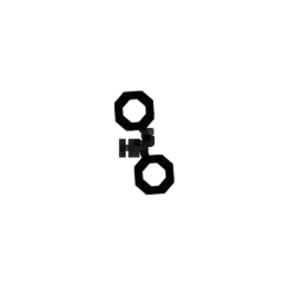 C1CCCC(NSC2CCCCCCC2)CCC1